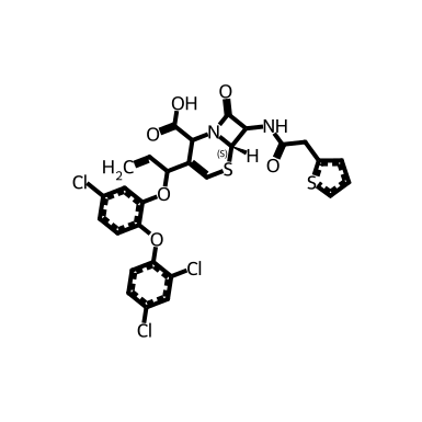 C=CC(Oc1cc(Cl)ccc1Oc1ccc(Cl)cc1Cl)C1=CS[C@H]2C(NC(=O)Cc3cccs3)C(=O)N2C1C(=O)O